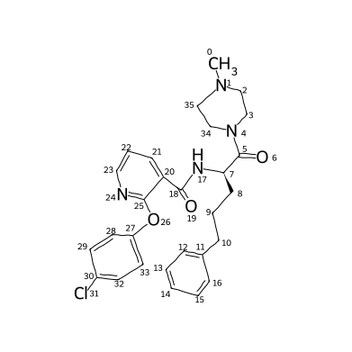 CN1CCN(C(=O)[C@@H](CCCc2ccccc2)NC(=O)c2cccnc2Oc2ccc(Cl)cc2)CC1